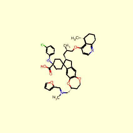 C[C@@H](COc1ccnc2c1[C@H](C)CCC2)C[C@H]1Cc2cc3c(cc2C12CCC(Nc1cccc(Cl)c1)(C(=O)O)CC2)O[C@@H](CN(C)Cc1ccco1)CCO3